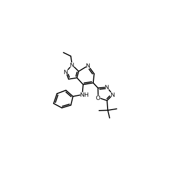 CCn1ncc2c(Nc3ccccc3)c(-c3nnc(C(C)(C)C)o3)cnc21